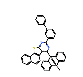 CC12C=CC(c3nc(-c4cccc(-c5ccccc5)c4)nc4sc5c6ccccc6ccc5c34)(c3ccccc31)c1ccccc12